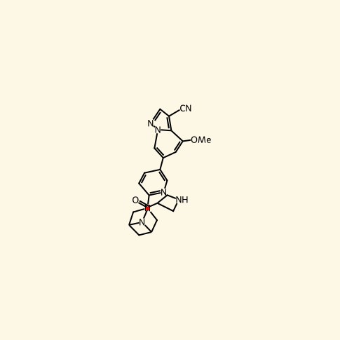 COc1cc(-c2ccc(N3CC4CC(C3)N4C(=O)C3CNC3)nc2)cn2ncc(C#N)c12